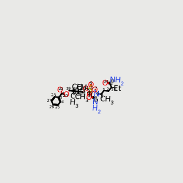 CC[C@@H](CC[C@H](C)N(OS(=O)(=O)OCC(C)(C)C(C)(C)COC(=O)c1ccccc1)C(N)=O)C(N)=O